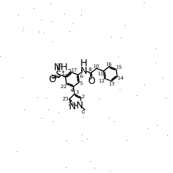 Cn1cc(-c2cc(NC(=O)Cc3ccccc3)cc([S+](N)[O-])c2)cn1